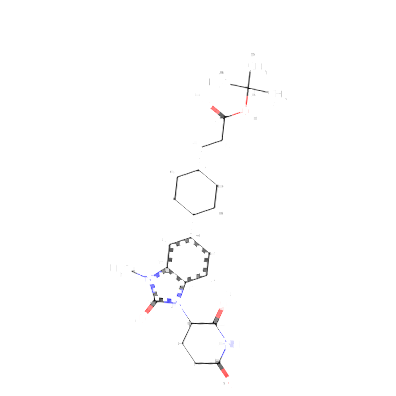 Cn1c(=O)n(C2CCC(=O)NC2=O)c2ccc([C@H]3CC[C@@H](CCC(=O)OC(C)(C)C)CC3)cc21